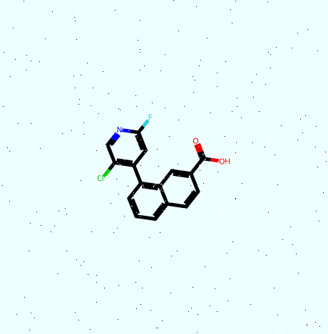 O=C(O)c1ccc2cccc(-c3cc(F)ncc3Cl)c2c1